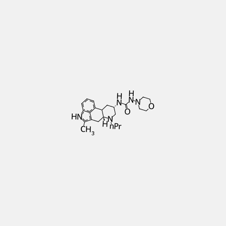 CCCN1C[C@@H](NC(=O)NN2CCOCC2)CC2c3cccc4[nH]c(C)c(c34)C[C@H]21